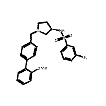 COc1ccccc1-c1ccc(CN2CC[C@@H](NS(=O)(=O)c3cccc(C(F)(F)F)c3)C2)cc1